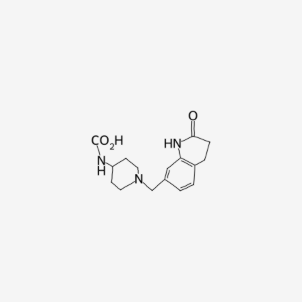 O=C(O)NC1CCN(Cc2ccc3c(c2)NC(=O)CC3)CC1